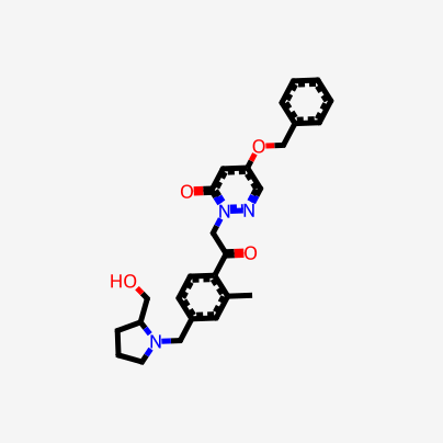 Cc1cc(CN2CCCC2CO)ccc1C(=O)Cn1ncc(OCc2ccccc2)cc1=O